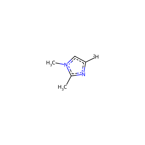 [2H]c1cn(C)c(C)n1